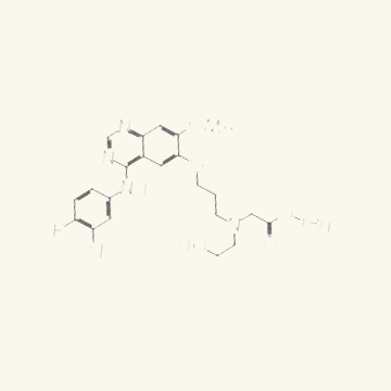 COc1cc2ncnc(Nc3ccc(F)c(Cl)c3)c2cc1OCCCN(CC(=O)OC(C)(C)C)C[C@H](C)O